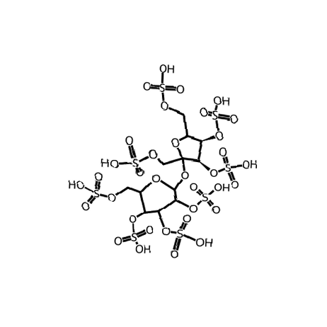 O=S(=O)(O)OCC1OC(OC2(COS(=O)(=O)O)OC(COS(=O)(=O)O)[C@@H](OS(=O)(=O)O)[C@H]2OS(=O)(=O)O)C(OS(=O)(=O)O)C(OS(=O)(=O)O)C1OS(=O)(=O)O